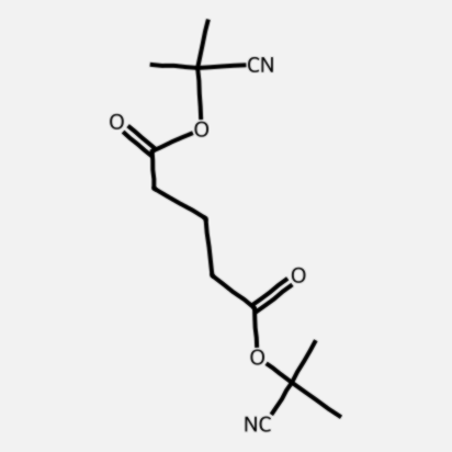 CC(C)(C#N)OC(=O)CCCC(=O)OC(C)(C)C#N